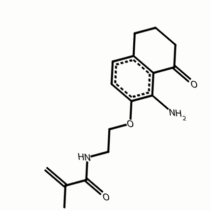 C=C(C)C(=O)NCCOc1ccc2c(c1N)C(=O)CCC2